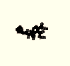 CCCCC(=O)C1=C(C(=O)OC(C)(C)C)N2C(=O)C(NC(=O)Cc3cccs3)[C@H]2SC1